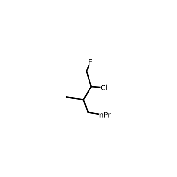 CCCCC(C)C(Cl)CF